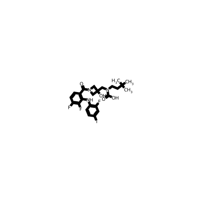 CC(C)(C)CCN(CC1(O)CN(C(=O)c2ccc(F)c(F)c2Nc2ccc(I)cc2F)C1)C(=O)O